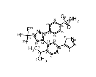 CC(C)c1ccc(C2=CC=NC2)cc1-c1cc(C(F)(F)F)nn1-c1ccc(S(N)(=O)=O)cc1